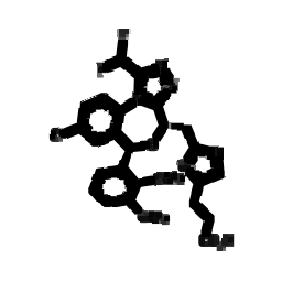 COc1cccc([C@@H]2O[C@@H](Cc3ncc(CCC(=O)O)o3)c3nnc(C(F)F)n3-c3ccc(Cl)cc32)c1OC